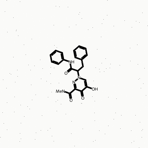 CNC(=O)c1nn(C(Cc2ccccc2)C(=O)Nc2ccccc2)cc(O)c1=O